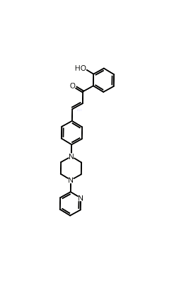 O=C(/C=C/c1ccc(N2CCN(c3ccccn3)CC2)cc1)c1ccccc1O